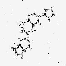 Nc1ccc(-c2cccs2)cc1NC(=O)c1ccc2nonc2c1